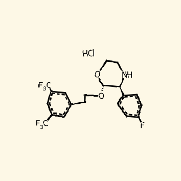 Cl.Fc1ccc([C@@H]2NCCO[C@H]2OCCc2cc(C(F)(F)F)cc(C(F)(F)F)c2)cc1